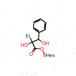 CCCCCCOC(=O)C(O)(CC)C(O)c1ccccc1